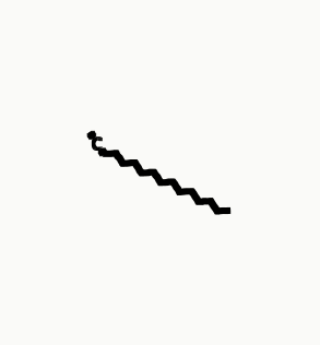 C=C=CCCCCCCCCCCCCC